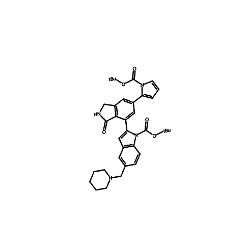 CC(C)(C)OC(=O)n1cccc1-c1cc2c(c(-c3cc4cc(CN5CCCCC5)ccc4n3C(=O)OC(C)(C)C)c1)C(=O)NC2